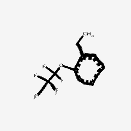 CCc1ccccc1OC(F)(F)C(F)(F)F